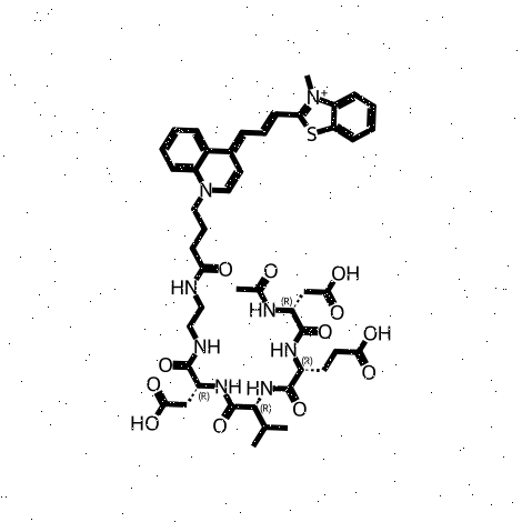 CC(=O)N[C@H](CC(=O)O)C(=O)N[C@H](CCC(=O)O)C(=O)N[C@@H](C(=O)N[C@H](CC(=O)O)C(=O)NCCNC(=O)CCCN1C=CC(=CC=Cc2sc3ccccc3[n+]2C)c2ccccc21)C(C)C